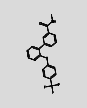 CNC(=O)c1cccc(-c2ccccc2Sc2ccc(C(F)(F)F)cc2)c1